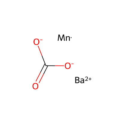 O=C([O-])[O-].[Ba+2].[Mn]